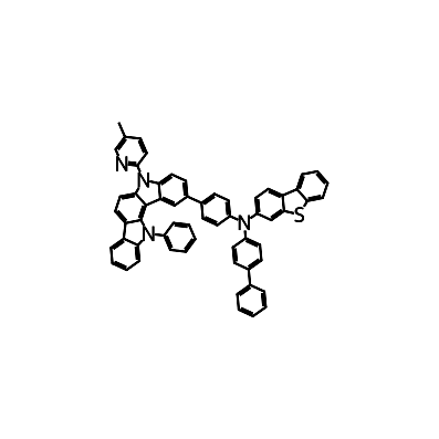 Cc1ccc(-n2c3ccc(-c4ccc(N(c5ccc(-c6ccccc6)cc5)c5ccc6c(c5)sc5ccccc56)cc4)cc3c3c2ccc2c4ccccc4n(-c4ccccc4)c23)nc1